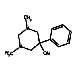 CN1CN(C)CC(O)(c2ccccc2)C1